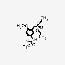 CCOP(=O)(Cc1cc(NS(C)(=O)=O)ccc1OC)OCC